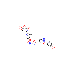 CCc1c2c(nc3ccc(OC(=O)N(C)CCN(C)C(=O)OCc4ccc(NC(=O)O[C@H]5/C=C/CC[C@@](C)(C(=O)O)CC5)cc4)cc13)-c1cc3c(c(=O)n1C2)COC(O)[C@]3(O)CC